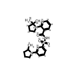 CC1CCCN1c1cccc(S(=O)(=O)NC(=O)c2cccnc2N2CCCC2(C)C)n1